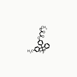 COC(=O)CC(=O)Oc1ccc(C(c2ccccc2)(c2ccc(C)cc2)C(F)(F)F)cc1